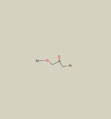 CC(=O)OCC(=O)CBr